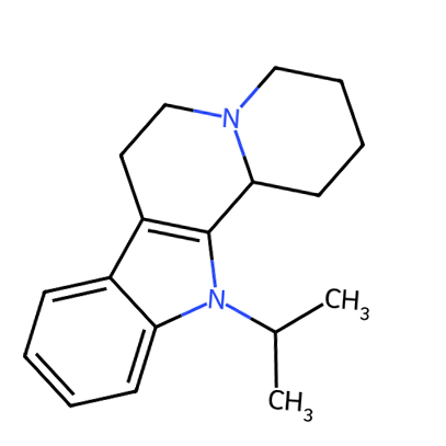 CC(C)n1c2c(c3ccccc31)CCN1CCCCC21